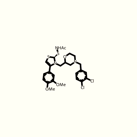 COc1ccc(C2=CS[C@@H](SNC(C)=O)N2CC2CN(Cc3ccc(Cl)c(Cl)c3)CCO2)cc1OC